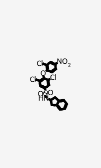 O=[N+]([O-])c1ccc(Oc2c(Cl)cc(S(=O)(=O)NC3Cc4ccccc4C3)cc2Cl)c(Cl)c1